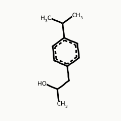 CC(O)Cc1ccc(C(C)C)cc1